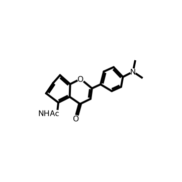 CC(=O)Nc1cccc2oc(-c3ccc(N(C)C)cc3)cc(=O)c12